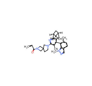 C=CC(=O)N1CC2(CCN(c3nc4c(c(-c5c(C)ccc6cnn(C)c56)c3C#N)C[C@H]3C[C@@H]4C3(C)C)C2)C1